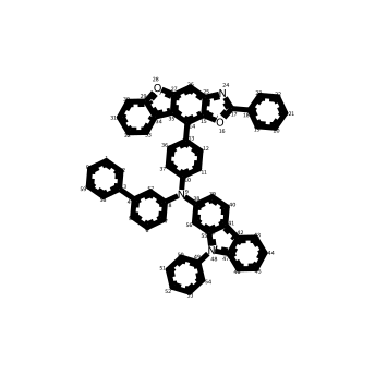 c1ccc(-c2cccc(N(c3ccc(-c4c5oc(-c6ccccc6)nc5cc5oc6ccccc6c45)cc3)c3ccc4c5ccccc5n(-c5ccccc5)c4c3)c2)cc1